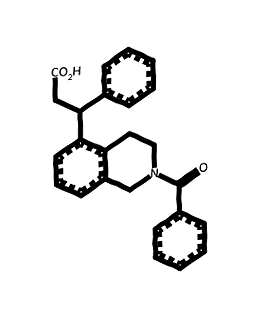 O=C(O)CC(c1ccccc1)c1cccc2c1CCN(C(=O)c1ccccc1)C2